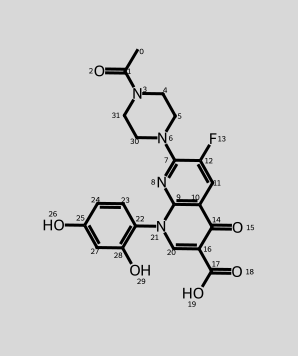 CC(=O)N1CCN(c2nc3c(cc2F)c(=O)c(C(=O)O)cn3-c2ccc(O)cc2O)CC1